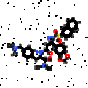 CCN(CC)Cc1ccc(CC(NC(=O)CC(NS(=O)(=O)c2ccc3ccccc3c2)c2ccc3c(c2)OCO3)C(=O)N(CC)C(C)C)cc1